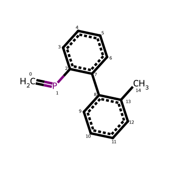 C=Pc1ccccc1-c1ccccc1C